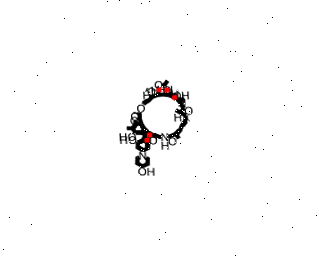 CO[C@H]1/C=C/O[C@@]2(C)Oc3c(C)c(O)c4c(=O)c(c5oc6cc(N7CCC(O)CC7)cc(O)c6nc-5c4c3C2=O)NC(=O)/C(C)=C\C=C\[C@]2(C)O[C@H]([C@@H](C)[C@@H](O)[C@@H](C)[C@H](OC(C)=O)[C@@H]1C)[C@H]2C